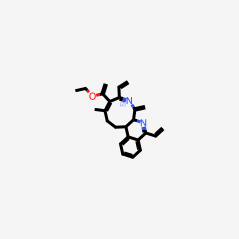 C=CC1=NC2C(=C)/N=C(/C=C)C(C(=C)OCC)=C(C)CCC2c2ccccc21